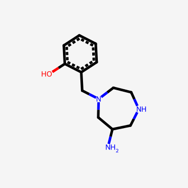 NC1CNCCN(Cc2ccccc2O)C1